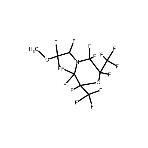 COC(F)(F)C(F)N1C(F)(F)C(F)(C(F)(F)F)OC(F)(C(F)(F)F)C1(F)F